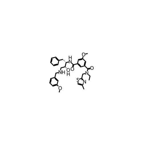 CCN(Cc1nc(C)cs1)C(=O)c1cc(OC)cc(C(=O)N[C@@H](Cc2ccccc2)[C@H](O)CNCc2cccc(OC)c2)c1